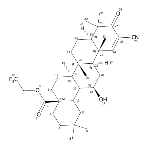 CC1(C)CC[C@]2(C(=O)OCC(F)(F)F)CC[C@]3(C)C(C2C1)[C@H](O)C[C@@H]1[C@@]2(C)C=C(C#N)C(=O)C(C)(C)[C@@H]2CC[C@]13C